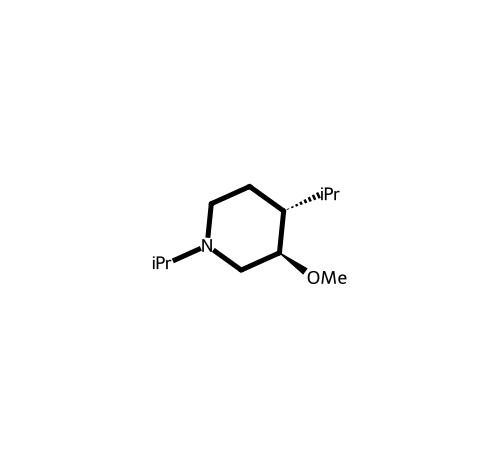 CO[C@H]1CN(C(C)C)CC[C@@H]1C(C)C